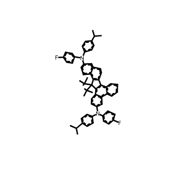 CC(C)c1ccc(N(c2ccc(F)cc2)c2ccc3c4c(ccc3c2)-c2c(c3ccc(N(c5ccc(F)cc5)c5ccc(C(C)C)cc5)cc3c3ccccc23)C4(C(C)(C)C)C(C)(C)C)cc1